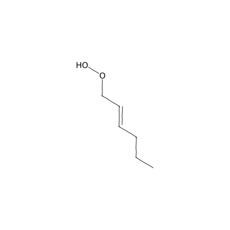 CCCC=CCOO